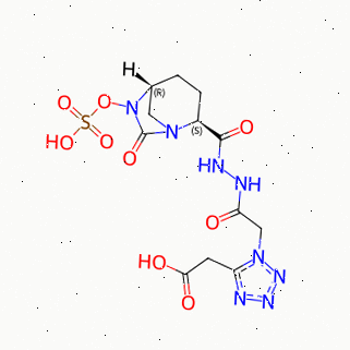 O=C(O)Cc1nnnn1CC(=O)NNC(=O)[C@@H]1CC[C@@H]2CN1C(=O)N2OS(=O)(=O)O